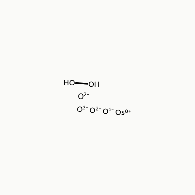 OO.[O-2].[O-2].[O-2].[O-2].[Os+8]